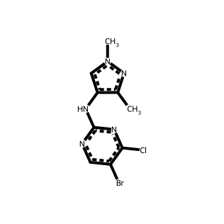 Cc1nn(C)cc1Nc1ncc(Br)c(Cl)n1